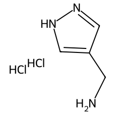 Cl.Cl.NCc1cn[nH]c1